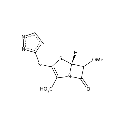 COC1C(=O)N2C(C(=O)O)=C(Sc3nncs3)S[C@H]12